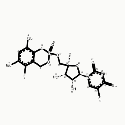 CC(C)(C)c1cc(C(C)(C)C)c2c(c1F)COP(=O)(OC[C@@]1(F)O[C@@H](n3cc(F)c(=S)[nH]c3=O)[C@H](O)[C@@H]1O)O2